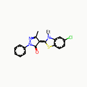 CCN1C(=C2C(=O)N(c3ccccc3)N=C2C)Sc2ccc(Cl)cc21